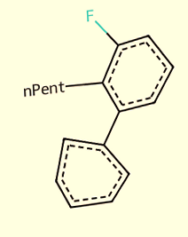 CCCCCc1c(F)cccc1-c1ccccc1